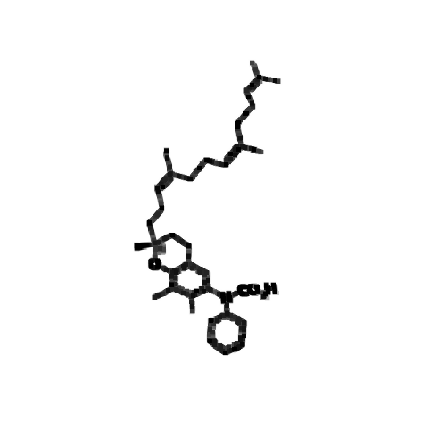 CC(C)=CCCC(C)=CCCC(C)=CCC[C@]1(C)CCc2cc(N(C(=O)O)c3ccccc3)c(C)c(C)c2O1